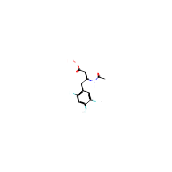 CC(=O)NC(CC(=O)OO)Cc1cc(F)c(F)cc1F